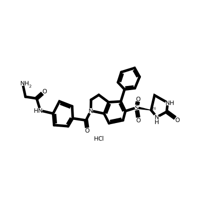 Cl.NCC(=O)Nc1ccc(C(=O)N2CCc3c2ccc(S(=O)(=O)[C@H]2CNC(=O)N2)c3-c2ccccc2)cc1